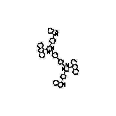 c1ccc2c(-c3ccc(-c4cc(-c5c6ccccc6cc6ccccc56)nc(-c5ccc(-c6ccc(-c7nc(-c8ccc(-c9nccc%10ccccc9%10)cc8)cc(-c8c9ccccc9cc9ccccc89)n7)cc6)cc5)n4)cc3)nccc2c1